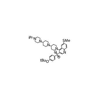 CSc1ccc2ncc(S(=O)(=O)c3ccc(OC(C)(C)C)cc3)c(N3CCC(N4CCC(N5CCN(C(C)C)CC5)CC4)CC3)c2c1